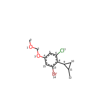 COCOc1cc(Cl)c(C2CC2C)c(Br)c1